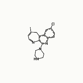 CC1=CC=Nc2c(N3CCNCC3)nc3ccc(Cl)cc3c2C1